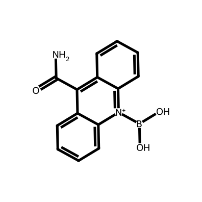 NC(=O)c1c2ccccc2[n+](B(O)O)c2ccccc12